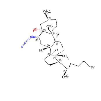 CC(=O)O[C@H]1CC[C@]2(C)[C@H]3CC[C@]4(C)[C@@H]([C@H](C)CCCC(C)C)CC[C@H]4[C@@H]3C[C@@H](N=[N+]=[N-])[C@@]2(O)C1